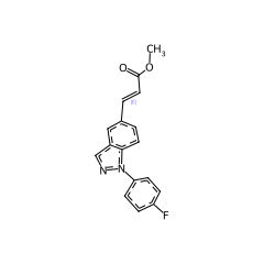 COC(=O)/C=C/c1ccc2c(cnn2-c2ccc(F)cc2)c1